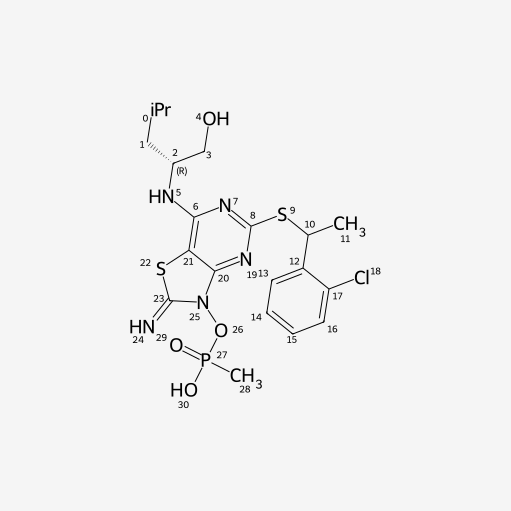 CC(C)C[C@H](CO)Nc1nc(SC(C)c2ccccc2Cl)nc2c1sc(=N)n2OP(C)(=O)O